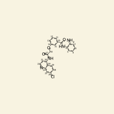 Nc1ccccc1NC(=O)c1cccc(OCC(=O)Nc2ccnc3cc(Cl)ccc23)c1